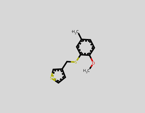 [CH2]c1ccc(OC)c(SCc2ccsc2)c1